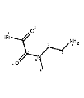 CC(C)C(=O)C(=O)N(C)CCN